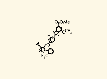 COC(=O)c1cc(OC(F)(F)F)c2nc(N3C[C@@H]4C[C@H]3C[C@H]4OCc3c(-c4ccccc4C(F)(F)F)noc3C3CC3)sc2c1